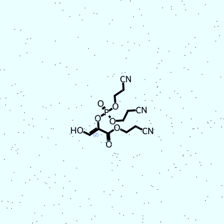 N#CCCOC(=O)/C(=C/O)OP(=O)(OCCC#N)OCCC#N